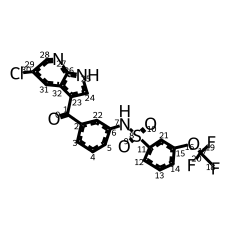 O=C(c1cccc(NS(=O)(=O)c2cccc(OC(F)(F)F)c2)c1)c1c[nH]c2ncc(Cl)cc12